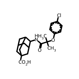 CC(C)(Oc1ccc(Cl)cc1)C(=O)NC1C2CC3CC1CC(C(=O)O)(C3)C2